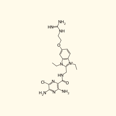 CCn1c(CNC(=O)c2nc(Cl)c(N)nc2N)[n+](CC)c2ccc(OCCNC(=N)N)cc21